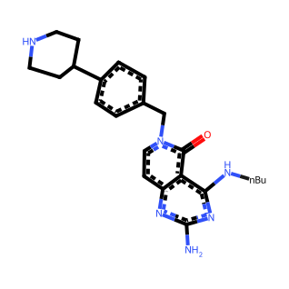 CCCCNc1nc(N)nc2ccn(Cc3ccc(C4CCNCC4)cc3)c(=O)c12